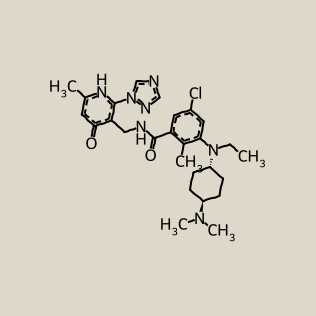 CCN(c1cc(Cl)cc(C(=O)NCc2c(-n3cncn3)[nH]c(C)cc2=O)c1C)[C@H]1CC[C@H](N(C)C)CC1